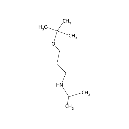 CC(C)NCCCOC(C)(C)C